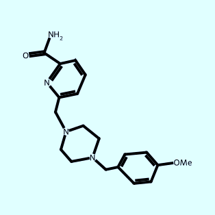 COc1ccc(CN2CCN(Cc3cc[c]c(C(N)=O)n3)CC2)cc1